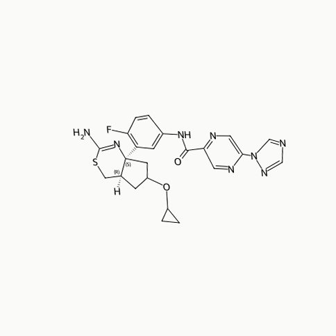 NC1=N[C@@]2(c3cc(NC(=O)c4cnc(-n5cncn5)cn4)ccc3F)CC(OC3CC3)C[C@H]2CS1